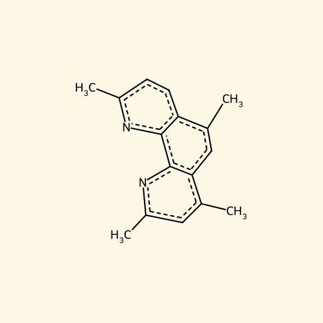 Cc1ccc2c(C)cc3c(C)cc(C)nc3c2n1